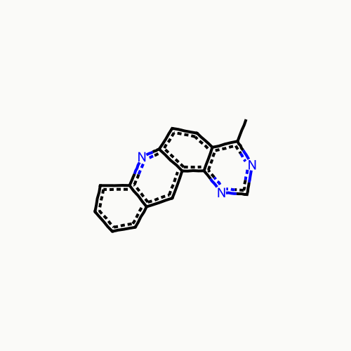 Cc1ncnc2c1ccc1nc3ccccc3cc12